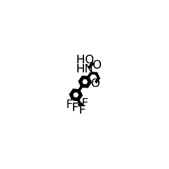 O=C(O)NC1CCOc2cc(-c3ccc(F)c(C(F)(F)F)c3)ccc21